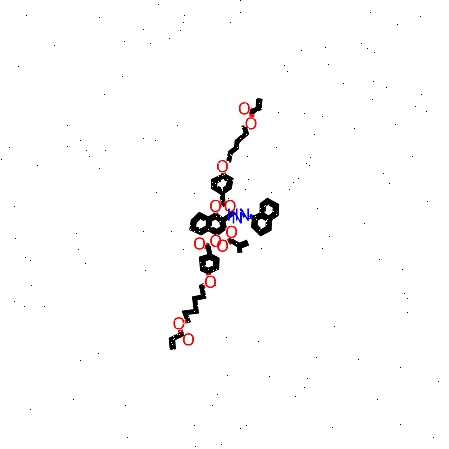 C=CC(=O)OCCCCCCOc1ccc(C(=O)Oc2c(/C=N/Nc3cccc4ccccc34)c(OC(=O)C(=C)C)c(OC(=O)c3ccc(OCCCCCCOC(=O)C=C)cc3)c3ccccc23)cc1